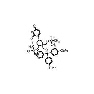 COc1ccc(C(OC[C@]2(CO[Si](C)(C)C(C)(C)C)O[C@@H](n3ccc(=O)[nH]c3=O)[C@@H](F)[C@@H]2O[Si](C)(C)C(C)(C)C)(c2ccccc2)c2ccc(OC)cc2)cc1